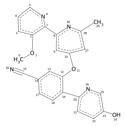 COc1cccnc1-c1cc(Oc2cc(C#N)ccc2-c2ccc(O)cn2)cc(C)n1